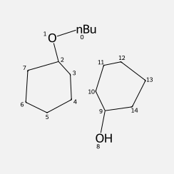 CCCCOC1CCCCC1.OC1CCCCC1